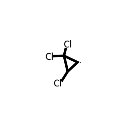 ClC1[CH]C1(Cl)Cl